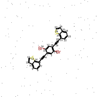 Brc1cc(C#Cc2cccc3ccsc23)c(Br)cc1C#Cc1cccc2ccsc12